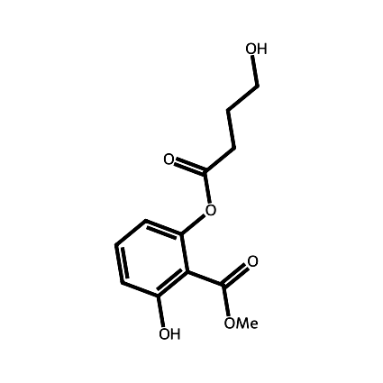 COC(=O)c1c(O)cccc1OC(=O)CCCO